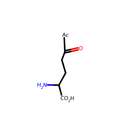 CC(=O)C(=O)CCC(N)C(=O)O